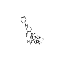 CC1(C)OB(C2CCN(c3ccccc3)CC2F)OC1(C)C